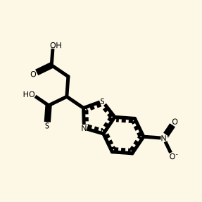 O=C(O)CC(C(O)=S)c1nc2ccc([N+](=O)[O-])cc2s1